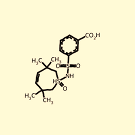 CC1(C)C=CC(C)(C)C[SH](=O)(NS(=O)(=O)c2cccc(C(=O)O)c2)C1